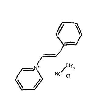 C(=C[n+]1ccccc1)c1ccccc1.CO.[Cl-]